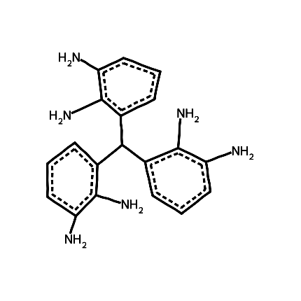 Nc1cccc(C(c2cccc(N)c2N)c2cccc(N)c2N)c1N